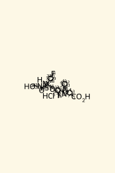 Cl.O=C(O)c1ccc2c(c1)nc(-c1ccc(OCc3sc(C(=O)NCCO)nc3-c3ccc(F)cc3)cc1F)n2C1CCCCC1